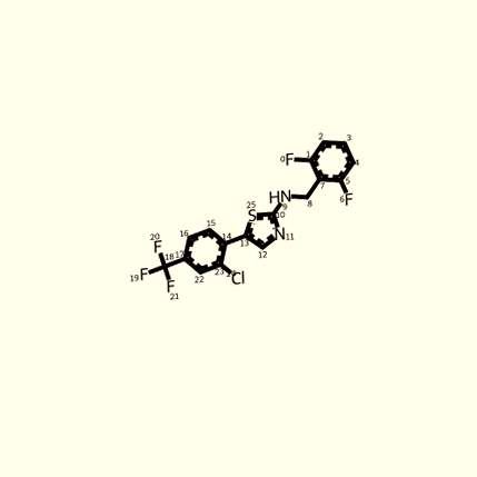 Fc1cccc(F)c1CNc1ncc(-c2ccc(C(F)(F)F)cc2Cl)s1